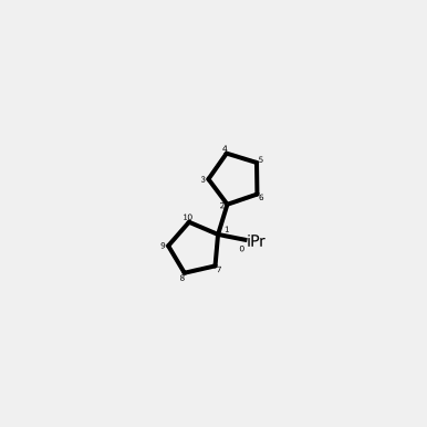 CC(C)C1(C2CCCC2)CCCC1